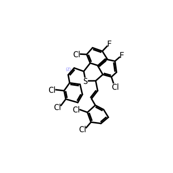 Fc1ccc(C(C=Cc2cccc(Cl)c2Cl)SC(/C=C\c2cccc(Cl)c2Cl)c2ccc(F)cc2Cl)c(Cl)c1